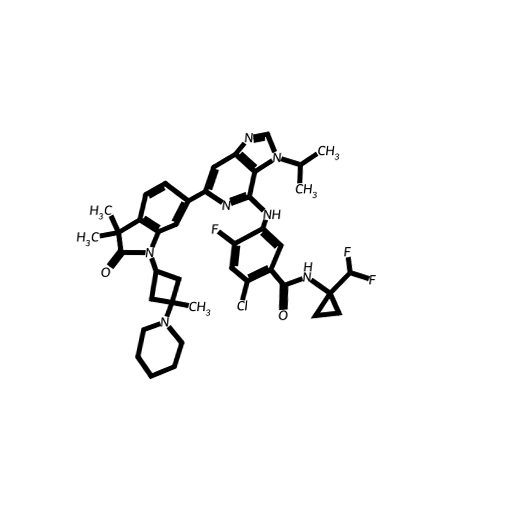 CC(C)n1cnc2cc(-c3ccc4c(c3)N(C3CC(C)(N5CCCCC5)C3)C(=O)C4(C)C)nc(Nc3cc(C(=O)NC4(C(F)F)CC4)c(Cl)cc3F)c21